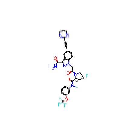 NC(=O)c1nn(CC(=O)N2C[C@H](F)C[C@H]2C(=O)N(F)c2cccc(OC(F)(F)F)c2)c2ccc(C#Cc3ncccn3)cc12